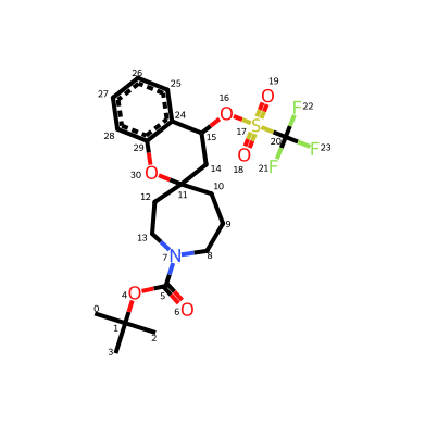 CC(C)(C)OC(=O)N1CCCC2(CC1)CC(OS(=O)(=O)C(F)(F)F)c1ccccc1O2